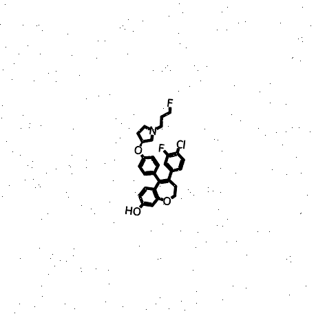 Oc1ccc2c(c1)OCCC(c1ccc(Cl)c(F)c1)=C2c1ccc(O[C@H]2CCN(CCCF)C2)cc1